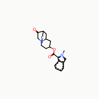 Cn1cc2ccccc2c1C(=O)OC1CC2CC3CC(C1)N2CC3=O